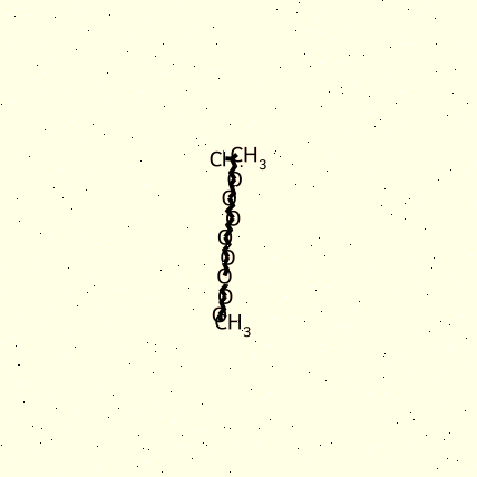 COCCOCCOCCOCCOCCOCCOCCOC[CH]C(C)Cl